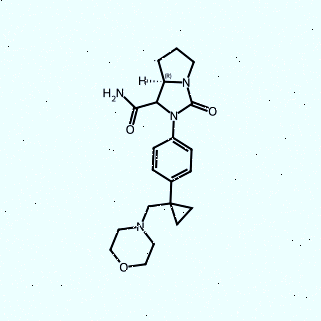 NC(=O)C1[C@H]2[CH]CCN2C(=O)N1c1ccc(C2(CN3CCOCC3)CC2)cc1